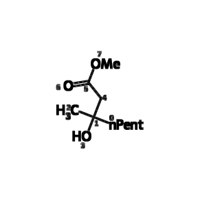 CCCCCC(C)(O)CC(=O)OC